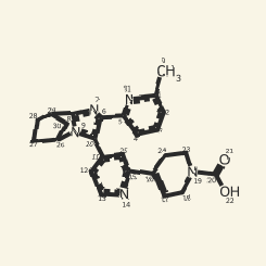 Cc1cccc(-c2nc3n(c2-c2ccnc(C4=CCN(C(=O)O)CC4)c2)C2CCC3C2)n1